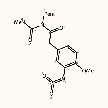 CCCC(C)N(C(=O)Cc1ccc(OC)c(N=S(=O)=O)c1)C(=O)NC